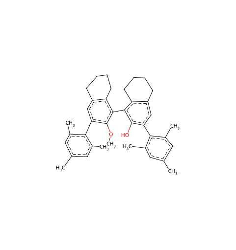 COc1c(-c2c(C)cc(C)cc2C)cc2c(c1-c1c(O)c(-c3c(C)cc(C)cc3C)cc3c1CCCC3)CCCC2